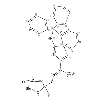 CC(C)(C)OC(C)(C=C=O)ON=C(C(=O)O)c1csc(NC(c2ccccc2)(c2ccccc2)c2ccccc2)n1